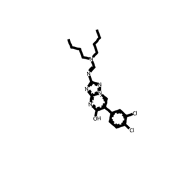 CCCCN(C=Nc1nc2nc(O)c(-c3ccc(Cl)c(Cl)c3)cn2n1)CCCC